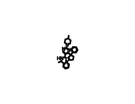 CC1CCN(c2ncc(C(=O)NC(C)c3ccccn3)c(C3(c4ccccc4)CCCC3)n2)CC1